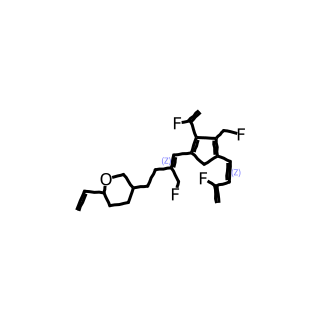 C=CC1CCC(CC/C(=C/C2=C(C(=C)F)C(CF)=C(/C=C\C(=C)F)C2)CF)CO1